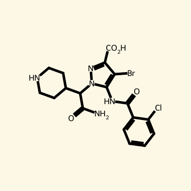 NC(=O)C(C1CCNCC1)n1nc(C(=O)O)c(Br)c1NC(=O)c1ccccc1Cl